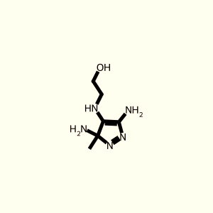 CC1(N)N=NC(N)=C1NCCO